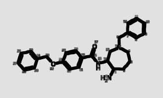 NC1CCCN(Cc2ccccc2)CC1NC(=O)c1ccc(OCc2ccccc2)cc1